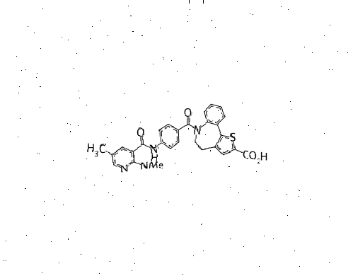 CNc1ncc(C)cc1C(=O)Nc1ccc(C(=O)N2CCc3cc(C(=O)O)sc3-c3ccccc32)cc1